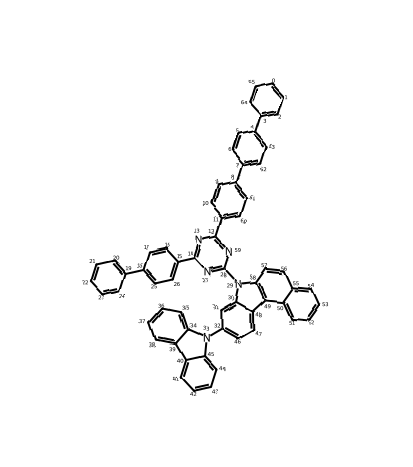 c1ccc(-c2ccc(-c3ccc(-c4nc(-c5ccc(-c6ccccc6)cc5)nc(-n5c6cc(-n7c8ccccc8c8ccccc87)ccc6c6c7ccccc7ccc65)n4)cc3)cc2)cc1